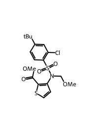 COCN(c1ccsc1C(=O)OC)S(=O)(=O)c1ccc(C(C)(C)C)cc1Cl